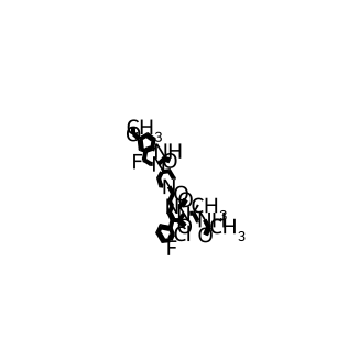 COc1ccc2c(c1)C(F)CN(C1CCN(C(=O)Cn3cc(-c4cccc(F)c4Cl)c(=O)n([C@@H](C)CNC(C)=O)c3=O)CC1)C(=O)N2